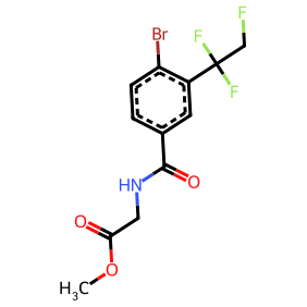 COC(=O)CNC(=O)c1ccc(Br)c(C(F)(F)CF)c1